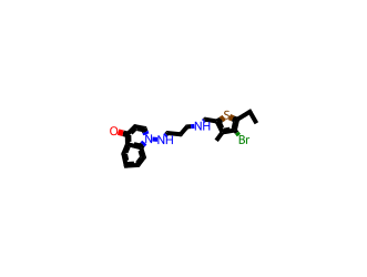 CCc1sc(CNCCCNn2ccc(=O)c3ccccc32)c(C)c1Br